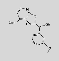 COc1cccc(C(O)c2cc3nccc(C=O)c3[nH]2)c1